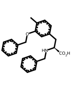 Cc1ccc(C[C@H](NCc2ccccc2)C(=O)O)cc1OCc1ccccc1